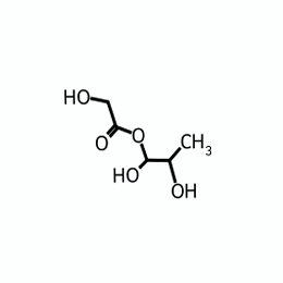 CC(O)C(O)OC(=O)CO